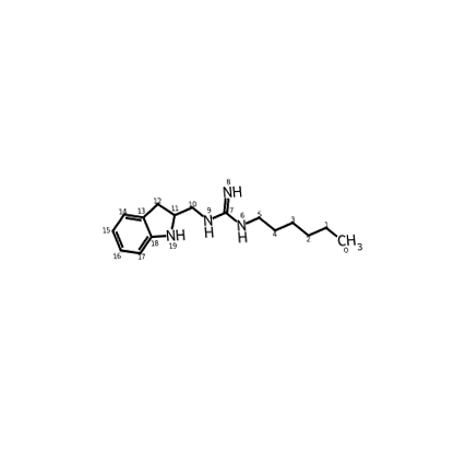 CCCCCCNC(=N)NCC1Cc2ccccc2N1